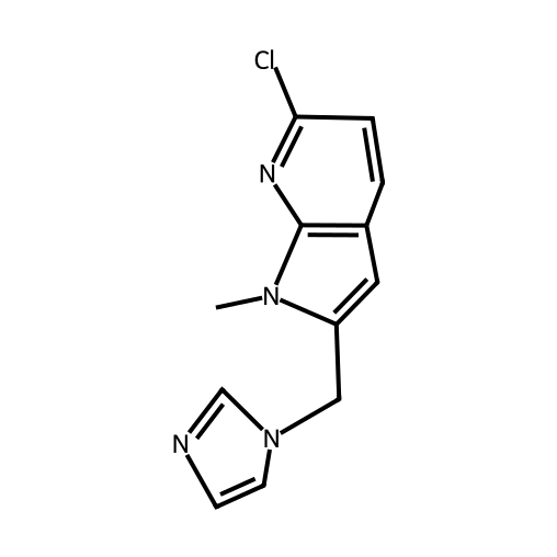 Cn1c(Cn2ccnc2)cc2ccc(Cl)nc21